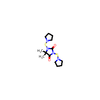 CC1(C)C(=O)N(SN2CCCC2)C(=O)N1SN1CCCC1